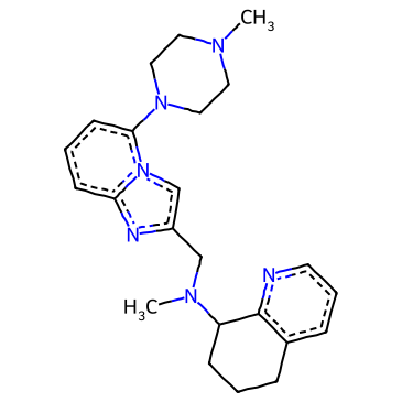 CN1CCN(c2cccc3nc(CN(C)C4CCCc5cccnc54)cn23)CC1